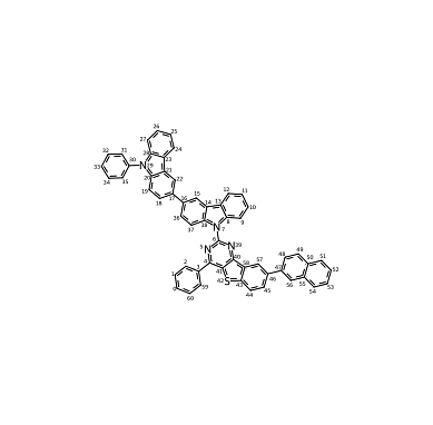 c1ccc(-c2nc(-n3c4ccccc4c4cc(-c5ccc6c(c5)c5ccccc5n6-c5ccccc5)ccc43)nc3c2sc2ccc(-c4ccc5ccccc5c4)cc23)cc1